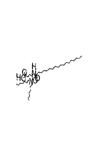 CCCCCCCCCCCCCCCCCC(=O)NC(CCC(=O)O)C(=O)N(CCCCCCC)CCCCCCC